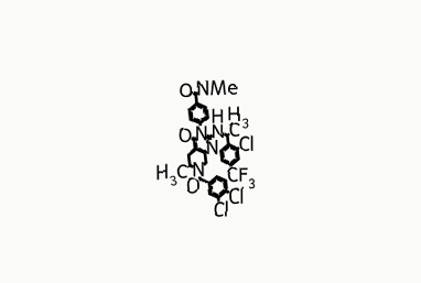 CNC(=O)c1ccc(-n2c(N[C@@H](C)c3ccc(C(F)(F)F)cc3Cl)nc3c(c2=O)C[C@@H](C)N(C(=O)c2ccc(Cl)c(Cl)c2)C3)cc1